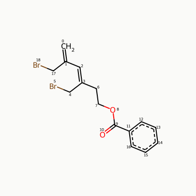 C=C(C=C(CBr)CCOC(=O)c1ccccc1)CBr